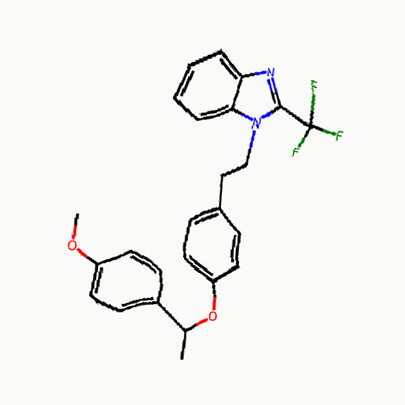 COc1ccc(C(C)Oc2ccc(CCn3c(C(F)(F)F)nc4ccccc43)cc2)cc1